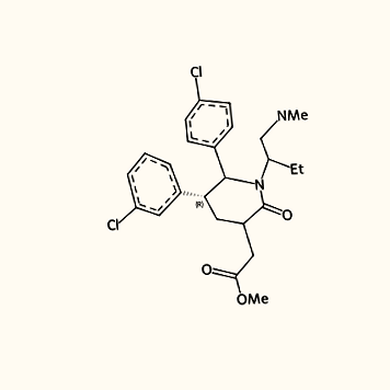 CCC(CNC)N1C(=O)C(CC(=O)OC)C[C@H](c2cccc(Cl)c2)C1c1ccc(Cl)cc1